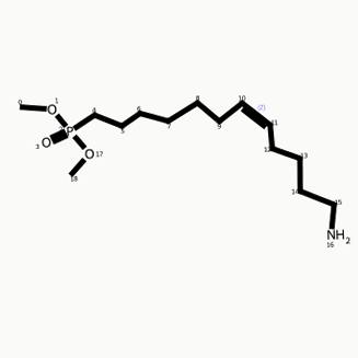 COP(=O)(CCCCCC/C=C\CCCCN)OC